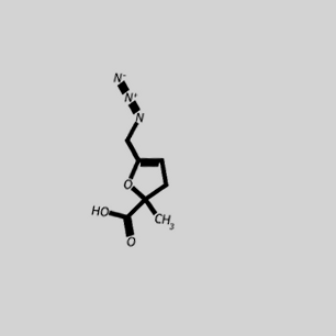 CC1(C(=O)O)CC=C(CN=[N+]=[N-])O1